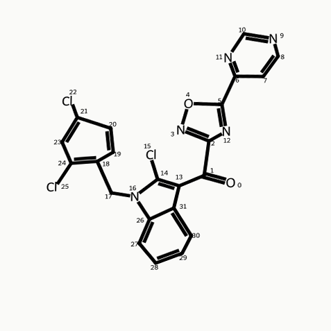 O=C(c1noc(-c2ccncn2)n1)c1c(Cl)n(Cc2ccc(Cl)cc2Cl)c2ccccc12